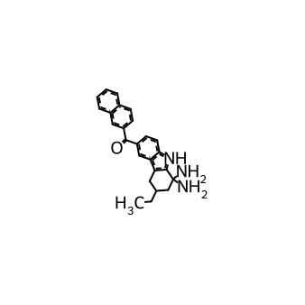 CCC1Cc2c([nH]c3ccc(C(=O)c4ccc5ccccc5c4)cc23)C(N)(N)C1